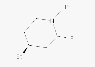 CC[C@H]1CCN(C(C)C)C(F)C1